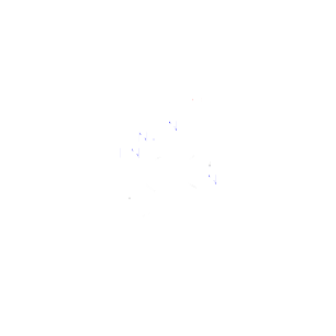 Fc1ccc(-c2[nH]nc(N3CCOCC3)c2-c2ccncc2)cc1